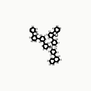 c1cc(-c2cccc(N(c3ccc(-c4cccc5ccccc45)cc3)c3cccc(-c4cccc5c4oc4ccccc45)c3)c2)cc(-c2cccc3c2sc2ccccc23)c1